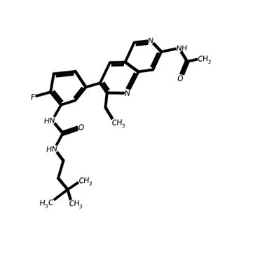 CCc1nc2cc(NC(C)=O)ncc2cc1-c1ccc(F)c(NC(=O)NCCC(C)(C)C)c1